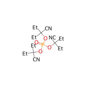 CCC(C#N)(CC)OP(=O)(OC(C#N)(CC)CC)OC(C#N)(CC)CC